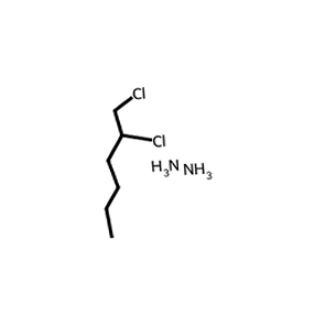 CCCCC(Cl)CCl.N.N